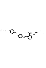 CCCCCc1ccc(COc2ccc(C=Cc3cccc4c3c(CC(=O)O)cn4CCCC(=O)O)cc2)cc1